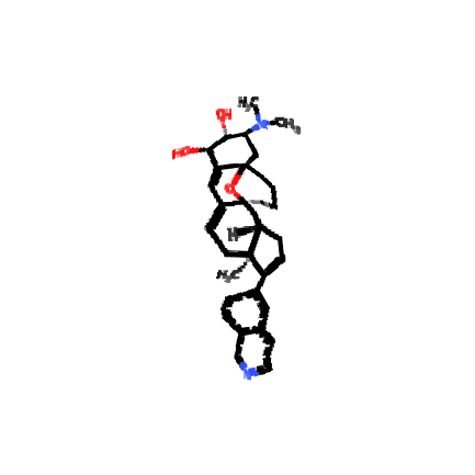 CN(C)[C@H]1C[C@@]23CC[C@@]4(O2)C(=CC[C@]2(C)C(c5ccc6cnccc6c5)=CC[C@H]24)C=C3[C@@H](O)[C@@H]1O